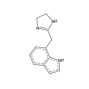 c1cc(CC2=NCCN2)c2[nH]ccc2c1